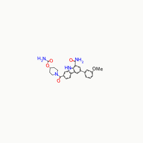 COc1cccc(-c2cc(C(N)=O)c3[nH]c4cc(C(=O)N5CCC(OC(N)=O)CC5)ccc4c3c2)c1